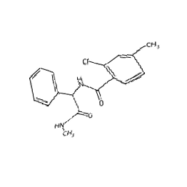 CNC(=O)C(NC(=O)c1ccc(C)cc1Cl)c1ccccc1